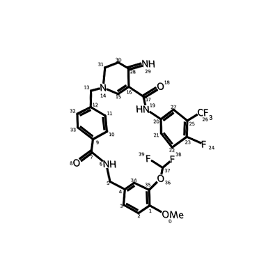 COc1ccc(CNC(=O)c2ccc(CN3C=C(C(=O)Nc4ccc(F)c(C(F)(F)F)c4)C(=N)CC3)cc2)cc1OC(F)F